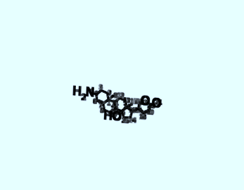 C[C@]12CCC(N)C=C1CCC1C2CC[C@]2(C)[C@@H](c3ccc(=O)oc3)CC[C@]12O